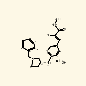 Cl.Cl.O=C(NO)/C(F)=C/c1ccc(N[C@@H]2CCN(Cc3ccccc3)C2)nc1